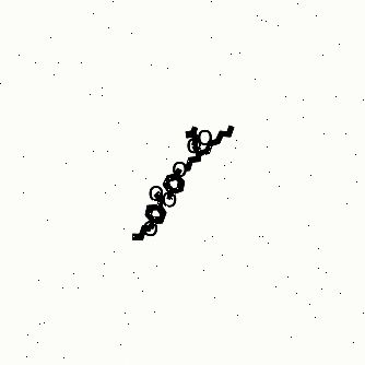 C=CCOc1ccc(C(=O)Oc2ccc(OCCCC(CCCCCC)OC(=O)C(=C)C)cc2)cc1